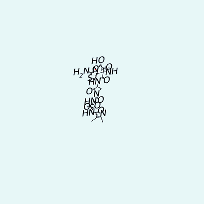 Cc1noc(NS(=O)(=O)NC(=O)N2CC(NC(=O)C3(c4csc(N)n4)NO[C@@H]3C(=O)O)C2=O)c1C